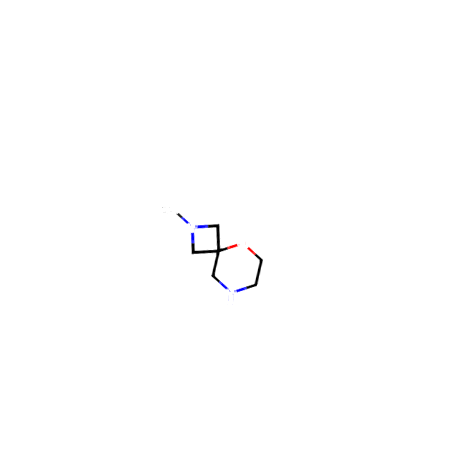 CC(C)(C)N1CC2(CNCCO2)C1